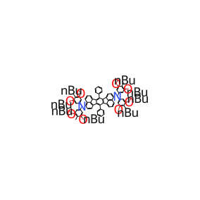 CCCCOc1cc(N(c2cc(OCCCC)c(C)c(OCCCC)c2)c2ccc3c4c(-c5ccccc5)c5c6cccc7c(N(c8cc(OCCCC)c(C)c(OCCCC)c8)c8cc(OCCCC)c(C)c(OCCCC)c8)ccc(c5c(-c5ccccc5)c4c4cccc2c43)c76)cc(OCCCC)c1C